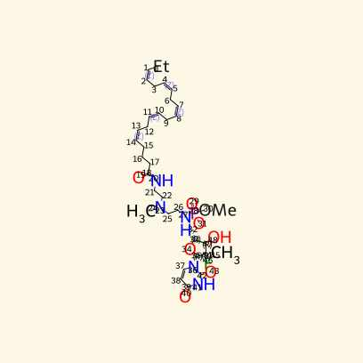 CC/C=C\C/C=C\C/C=C\C/C=C\C/C=C\CCCC(=O)NCCN(C)CCNP(=O)(OC)OC[C@H]1O[C@@H](n2ccc(=O)[nH]c2=O)[C@](C)(F)[C@@H]1O